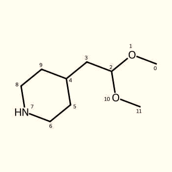 COC(CC1CCNCC1)OC